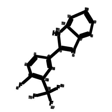 Fc1ccc(-c2nc3ccccc3[nH]2)cc1C(F)(F)F